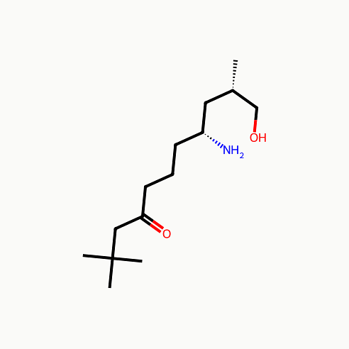 C[C@H](CO)C[C@H](N)CCCC(=O)CC(C)(C)C